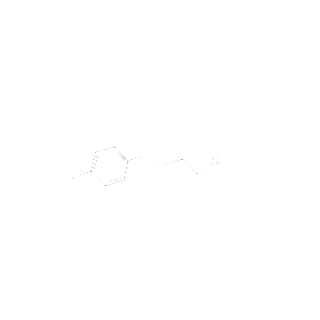 CCc1cc(OCCCN(C)C(=O)O)ccc1Br